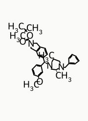 COc1cccc([C@@H](c2ccc3c(c2)CN(C(=O)OC(C)(C)C)C3)N2C[C@@H](C)N(Cc3ccccc3)C[C@@H]2C)c1